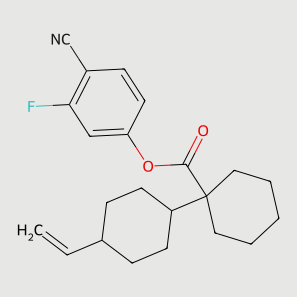 C=CC1CCC(C2(C(=O)Oc3ccc(C#N)c(F)c3)CCCCC2)CC1